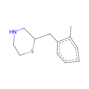 Cc1ccccc1CC1CNCCS1